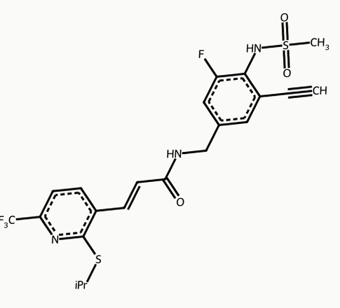 C#Cc1cc(CNC(=O)C=Cc2ccc(C(F)(F)F)nc2SC(C)C)cc(F)c1NS(C)(=O)=O